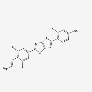 CCCc1ccc(-c2cc3sc(-c4cc(F)c(/C=N/O)c(F)c4)cc3s2)c(F)c1